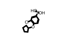 OB(O)c1ccc(OC2CCCC2)c(Cl)c1